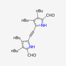 CCCCc1c(C#Cc2[nH]c(C=O)c(CCCC)c2CCCC)[nH]c(C=O)c1CCCC